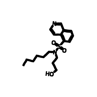 CCCCCCN(CCCO)S(=O)(=O)c1cccc2cnccc12